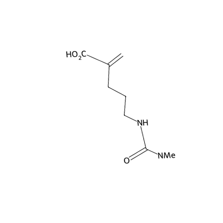 C=C(CCCNC(=O)NC)C(=O)O